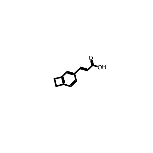 O=C(O)/C=C/c1ccc2c(c1)CC2